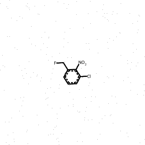 O=[N+]([O-])c1c(Cl)cccc1CF